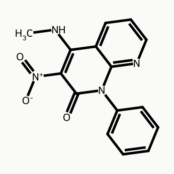 CNc1c([N+](=O)[O-])c(=O)n(-c2ccccc2)c2ncccc12